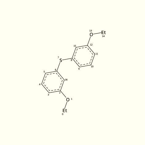 CCOc1cccc(Sc2cccc(OCC)c2)c1